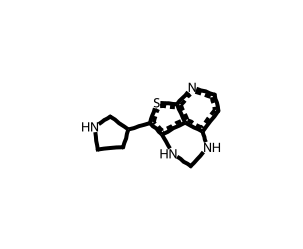 c1cc2c3c(c(C4CCNC4)sc3n1)NCN2